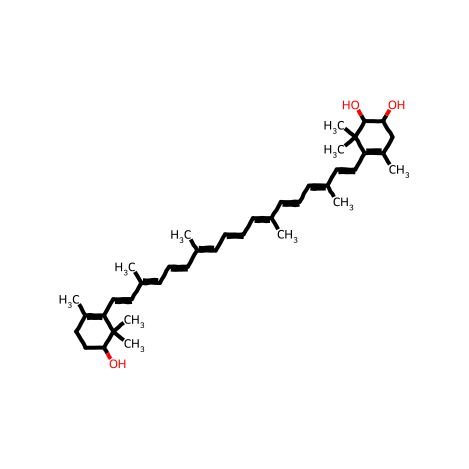 CC1=C(/C=C/C(C)=C/C=C/C(C)=C/C=C/C=C(C)/C=C/C=C(C)/C=C/C2=C(C)CC(O)C(O)C2(C)C)C(C)(C)C(O)CC1